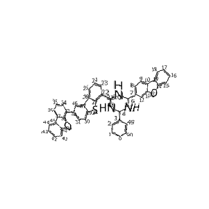 c1ccc(C2NC(c3ccc4c(c3)oc3ccccc34)NC(c3cccc4c3sc3ccc(-c5cccc6c5oc5ccccc56)cc34)N2)cc1